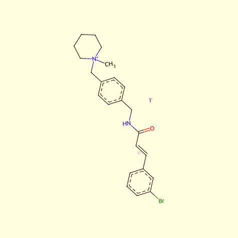 C[N+]1(Cc2ccc(CNC(=O)/C=C/c3cccc(Br)c3)cc2)CCCCC1.[I-]